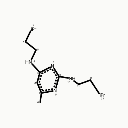 Cc1cc(NCCC(C)C)nc(NCCC(C)C)n1